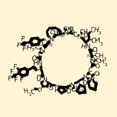 CCO[C@@H]1C[C@H]2C(=O)NC3(CCC3)C(=O)N(C)[C@@H](C3CCCC3)C(=O)N(C)[C@H](C(=O)N3CCCC3)CC(=O)N(C)[C@@H](C)C(=O)N[C@@H]([C@@H](C)CC)C(=O)N(C)CC(=O)N(C)[C@H]3C/C=C\CCN(C3=O)[C@@H](Cc3ccc(C(F)(F)F)cc3)C(=O)N(C)CC(=O)N[C@@H](CCc3cc(F)c(C(F)(F)F)c(F)c3)C(=O)N2C1